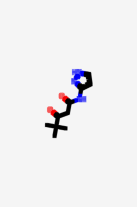 CC(C)(C)C(=O)CC(=O)Nc1cc[nH]n1